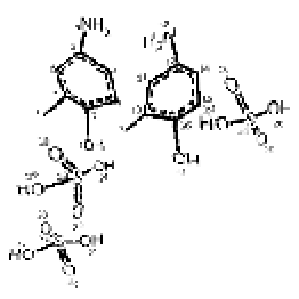 Cc1cc(N)ccc1O.Cc1cc(N)ccc1O.O=S(=O)(O)O.O=S(=O)(O)O.O=S(=O)(O)O